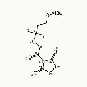 CC(C)(C)OCCC(C)(C)OCC(=O)N1C(=O)CCC1=O